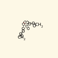 C=CC(=O)OCCOc1ccc(-c2ccccc2-c2cc3ccccc3cc2-c2c(OCCOC(=O)C=C)ccc3ccccc23)cc1